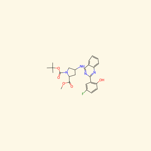 COC(=O)C1CC(Nc2nc(-c3cc(F)ccc3O)nc3ccccc23)CN1C(=O)OC(C)(C)C